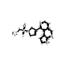 O=S(=O)(CC(F)(F)F)N1CC=C(c2nccc3cnc4[nH]ccc4c23)C1